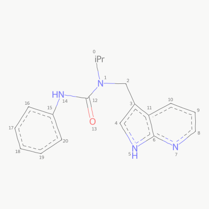 CC(C)N(Cc1c[nH]c2ncccc12)C(=O)Nc1ccccc1